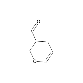 O=CC1CC=COC1